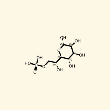 O=P(O)(O)OC[C@@H](O)[C@H]1O[C@H](O)[C@@H](O)[C@@H](O)[C@@H]1O